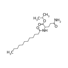 CCCCCCCCCCCC(=O)NC(CCC(N)=O)C(=O)OC(C)C